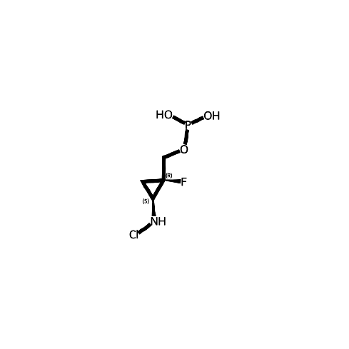 OP(O)OC[C@@]1(F)C[C@@H]1NCl